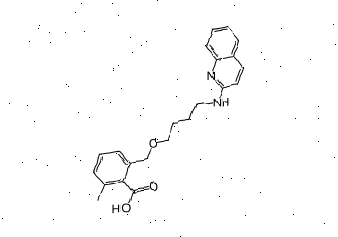 Cc1cccc(COCCCCNc2ccc3ccccc3n2)c1C(=O)O